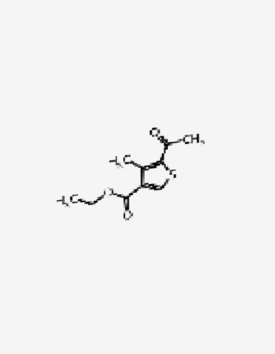 CCOC(=O)c1csc(C(C)=O)c1C